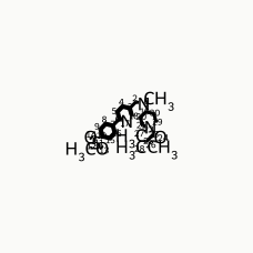 CN(Cc1ccc(-c2ccc(S(C)(=O)=O)cc2)nc1)C1CCN(C(=O)C(C)(C)C)CC1